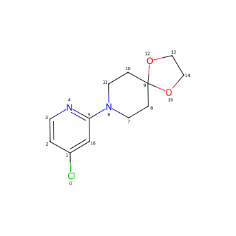 Clc1ccnc(N2CCC3(CC2)OCCO3)c1